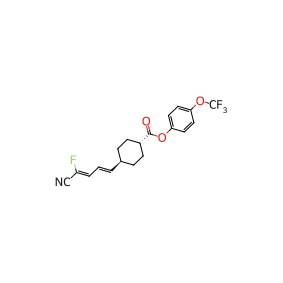 N#CC(F)=CC=C[C@H]1CC[C@H](C(=O)Oc2ccc(OC(F)(F)F)cc2)CC1